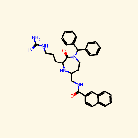 N=C(N)NCCC[C@@H]1N[C@H](CNC(=O)c2ccc3ccccc3c2)CCN(C(c2ccccc2)c2ccccc2)C1=O